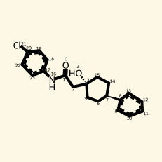 O=C(C[C@]1(O)CC[C@H](c2ccccc2)CC1)Nc1ccc(Cl)cc1